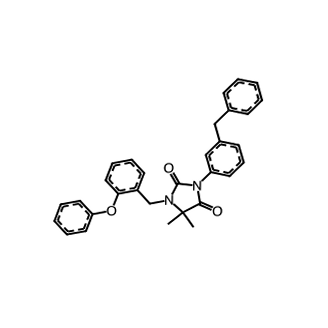 CC1(C)C(=O)N(c2cccc(Cc3ccccc3)c2)C(=O)N1Cc1ccccc1Oc1ccccc1